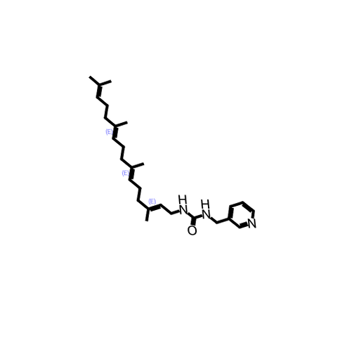 CC(C)=CCC/C(C)=C/CC/C(C)=C/CC/C(C)=C/CNC(=O)NCc1cccnc1